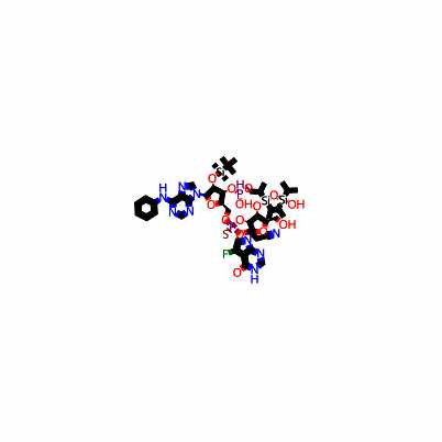 CC(C)[Si](O)(O[Si](O[C@H]1[C@@H](OP(=S)(OCCC#N)OC[C@H]2O[C@@H](n3cnc4c(Nc5ccccc5)ncnc43)[C@H](O[Si](C)(C)C(C)(C)C)[C@@H]2O[PH](=O)O)[C@H](n2cc(F)c3c(=O)[nH]cnc32)O[C@@H]1CO)(C(C)C)C(C)C)C(C)C